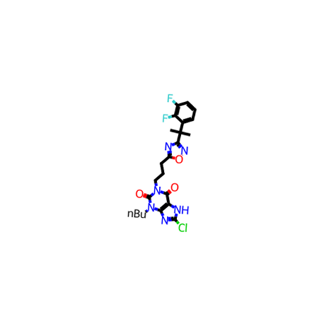 CCCCn1c(=O)n(CCCc2nc(C(C)(C)c3cccc(F)c3F)no2)c(=O)c2[nH]c(Cl)nc21